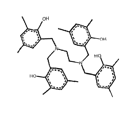 Cc1cc(C)c(O)c(CN(CCN(Cc2cc(C)cc(C)c2O)Cc2cc(C)cc(C)c2O)Cc2cc(C)cc(C)c2O)c1